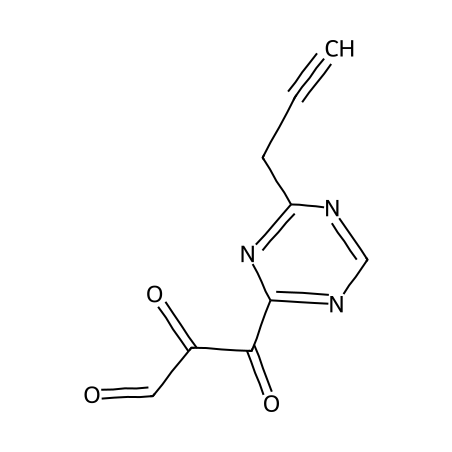 C#CCc1ncnc(C(=O)C(=O)C=O)n1